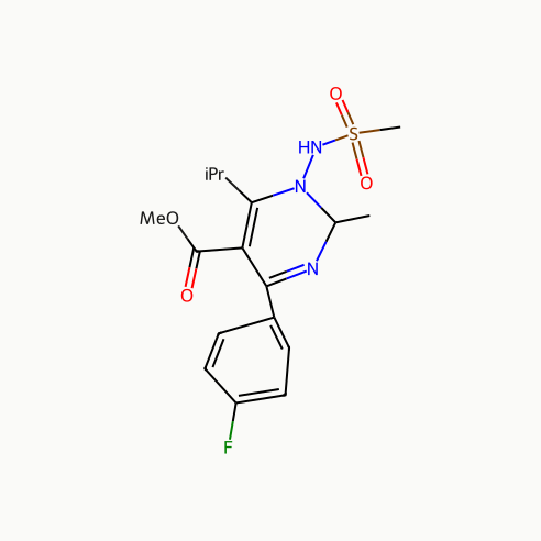 COC(=O)C1=C(C(C)C)N(NS(C)(=O)=O)C(C)N=C1c1ccc(F)cc1